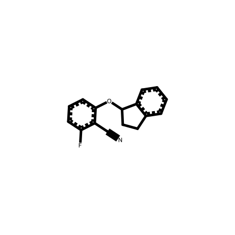 N#Cc1c(F)cccc1OC1CCc2ccccc21